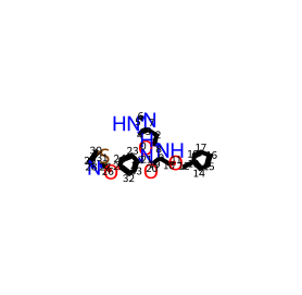 O=C(Cc1c[nH]cn1)NC(COCc1ccccc1)C(=O)Nc1ccc(Oc2nccs2)cc1